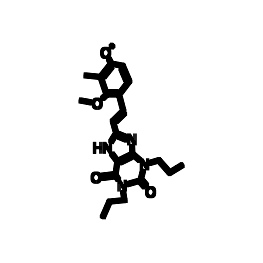 CCCn1c(=O)c2[nH]c(/C=C/c3ccc(OC)c(C)c3OC)nc2n(CCC)c1=O